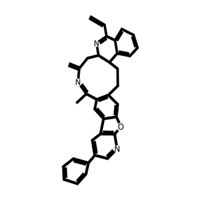 C=CC1=NC2CC(=C)/N=C(/C)c3cc4c(cc3CCC2c2ccccc21)oc1ncc(-c2ccccc2)cc14